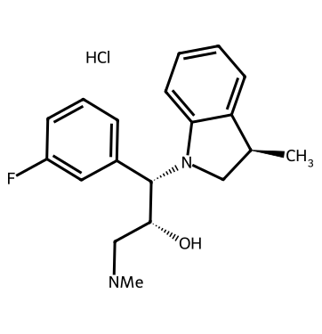 CNC[C@@H](O)[C@H](c1cccc(F)c1)N1C[C@H](C)c2ccccc21.Cl